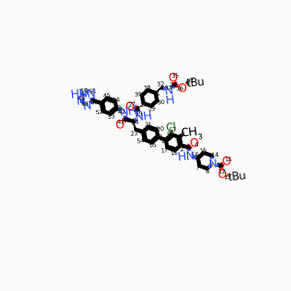 Cc1c(C(=O)NC2CCN(C(=O)OC(C)(C)C)CC2)ccc(-c2ccc(C[C@H](NC(=O)[C@H]3CC[C@H](CNC(=O)OC(C)(C)C)CC3)C(=O)Nc3ccc(-c4nn[nH]n4)cc3)cc2)c1Cl